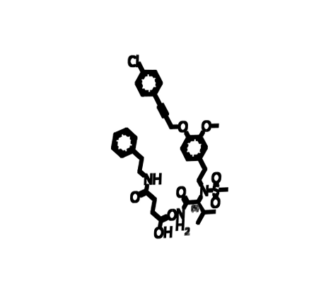 COc1cc(CCN([C@H](C(N)=O)C(C)C)S(C)(=O)=O)ccc1OCC#Cc1ccc(Cl)cc1.O=C(O)CCC(=O)NCCc1ccccc1